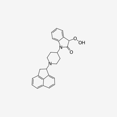 O=C1C(OO)c2ccccc2N1C1CCN(C2Cc3cccc4cccc2c34)CC1